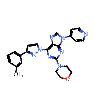 Cc1cccc(-c2ccn(-c3nc(N4CCOCC4)nc4c3ncn4-c3ccncc3)n2)c1